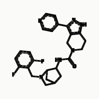 O=C(NC1CC2CC1N(Cc1c(F)cccc1F)C2)N1CCc2[nH]nc(-c3ccncc3)c2C1